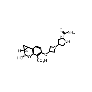 NC(=O)[C@H]1CC(N2CC(Oc3ccc4c(c3C(=O)O)OB(O)[C@@H]3CC43)C2)CN1